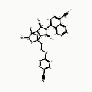 CC12OC(CCOc3ccc(C#N)cc3)(CC1O)C1C(=O)N(c3ccc(C#N)c4ccccc34)C(=O)C12